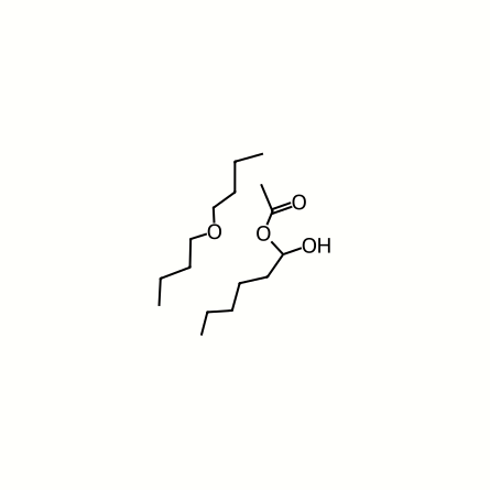 CCCCCC(O)OC(C)=O.CCCCOCCCC